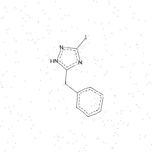 Ic1n[nH]c(Cc2ccccc2)n1